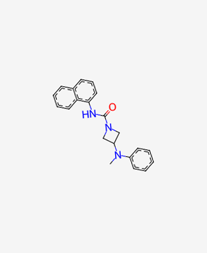 CN(c1ccccc1)C1CN(C(=O)Nc2cccc3ccccc23)C1